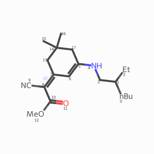 CCCCC(CC)CNC1=C/C(=C(/C#N)C(=O)OC)CC(C)(C)C1